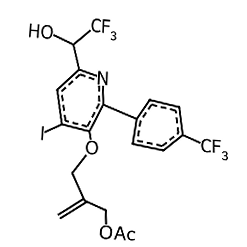 C=C(COC(C)=O)COc1c(I)cc(C(O)C(F)(F)F)nc1-c1ccc(C(F)(F)F)cc1